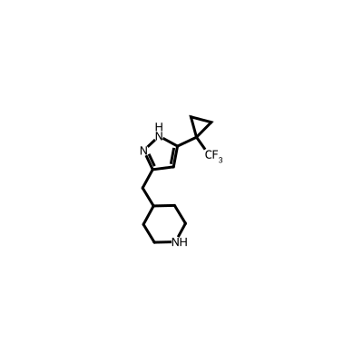 FC(F)(F)C1(c2cc(CC3CCNCC3)n[nH]2)CC1